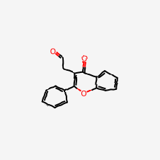 O=CCc1c(-c2ccccc2)oc2ccccc2c1=O